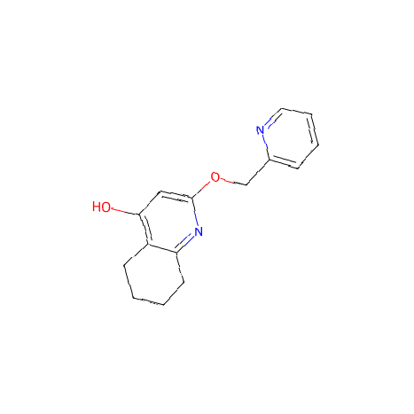 Oc1cc(OCc2ccccn2)nc2c1CCCC2